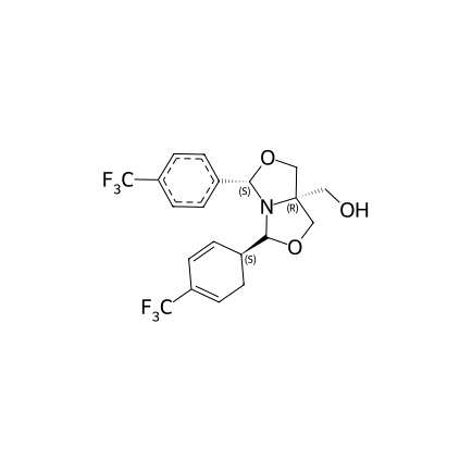 OC[C@]12COC([C@@H]3C=CC(C(F)(F)F)=CC3)N1[C@H](c1ccc(C(F)(F)F)cc1)OC2